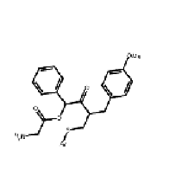 COc1ccc(CC(CSC(C)=O)C(=O)C(OC(=O)CN)c2ccccc2)cc1